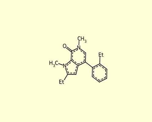 CCc1ccccc1-c1cn(C)c(=O)c2c1cc(CC)n2C